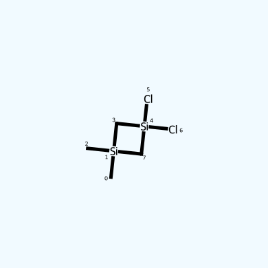 C[Si]1(C)C[Si](Cl)(Cl)C1